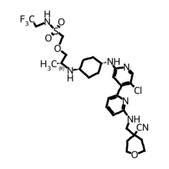 C[C@H](COCS(=O)(=O)NCC(F)(F)F)N[C@H]1CC[C@H](Nc2cc(-c3cccc(NCC4(C#N)CCOCC4)n3)c(Cl)cn2)CC1